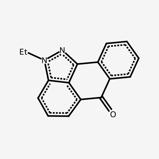 CCn1nc2c3c(cccc31)C(=O)c1ccccc1-2